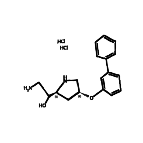 Cl.Cl.NCC(O)[C@@H]1C[C@@H](Oc2cccc(-c3ccccc3)c2)CN1